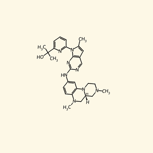 Cc1cc2cnc(Nc3ccc4c(c3)N3CCN(C)C[C@@H]3CN4C)nc2n1-c1cccc(C(C)(C)O)n1